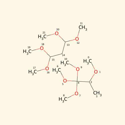 COC(C)C(OC)(OC)OC.COC(CC(OC)OC)OC